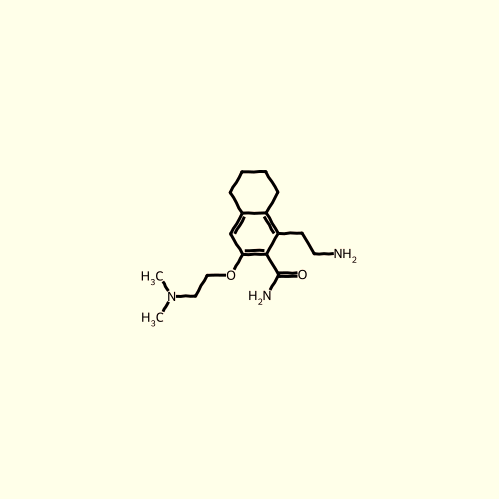 CN(C)CCOc1cc2c(c(CCN)c1C(N)=O)CCCC2